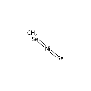 C.[Se]=[Ni]=[Se]